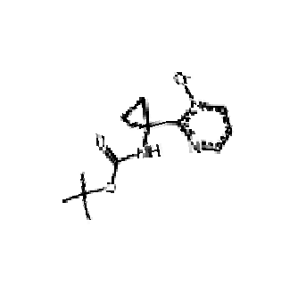 CC(C)(C)OC(=O)NC1(c2nccc[n+]2[O-])CC1